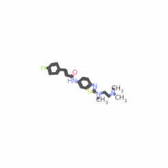 CN(C)CCN(C)c1nc2ccc(NC(=O)C=Cc3ccc(F)cc3)cc2s1